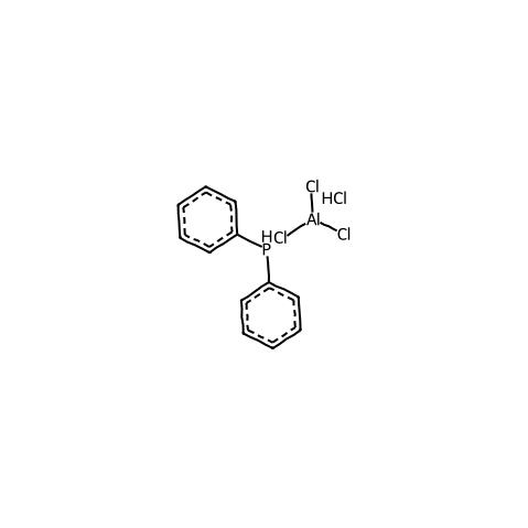 Cl.[Cl][Al]([Cl])[Cl].c1ccc(Pc2ccccc2)cc1